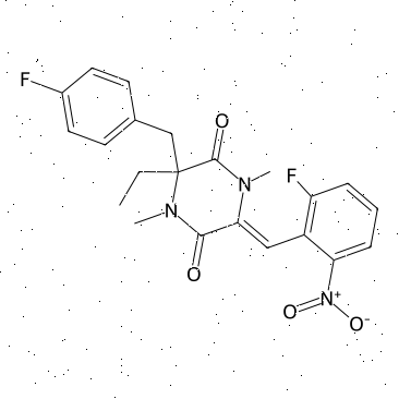 CCC1(Cc2ccc(F)cc2)C(=O)N(C)C(=Cc2c(F)cccc2[N+](=O)[O-])C(=O)N1C